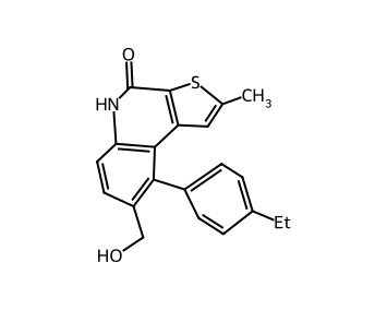 CCc1ccc(-c2c(CO)ccc3[nH]c(=O)c4sc(C)cc4c23)cc1